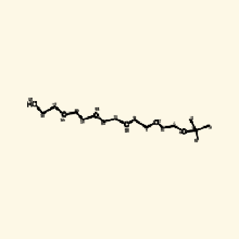 CC(C)(C)OCCOCCOCCOCCOCCO